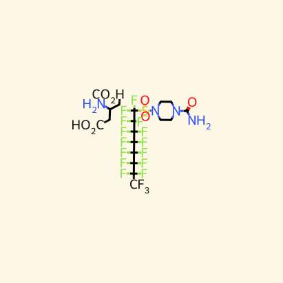 NC(=O)N1CCN(S(=O)(=O)C(F)(F)C(F)(F)C(F)(F)C(F)(F)C(F)(F)C(F)(F)C(F)(F)C(F)(F)F)CC1.NC(CC(=O)O)CC(=O)O